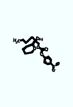 CCCCC(O)(COC(=O)Oc1ccc([N+](=O)[O-])cc1)C1CCCCO1